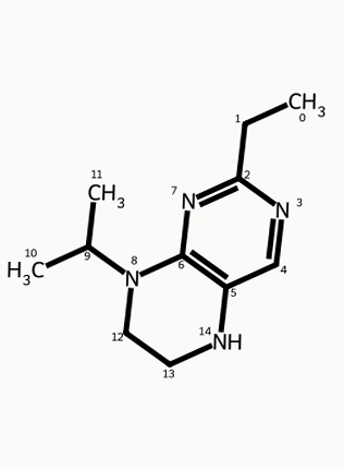 CCc1ncc2c(n1)N(C(C)C)CCN2